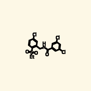 CCS(=O)(=O)c1ccc(Cl)cc1CNC(=O)c1cc(Cl)cc(Cl)c1